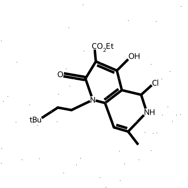 CCOC(=O)c1c(O)c2c(n(CCC(C)(C)C)c1=O)C=C(C)NC2Cl